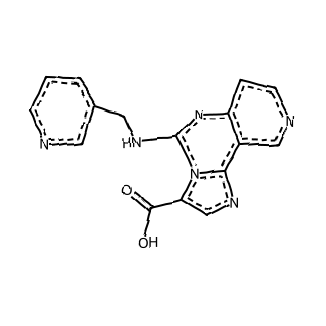 O=C(O)c1cnc2c3cnccc3nc(NCc3cccnc3)n12